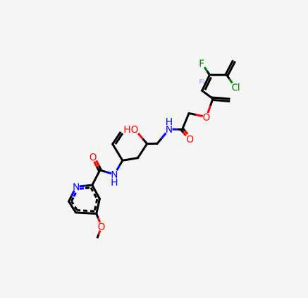 C=CC(CC(O)CNC(=O)COC(=C)/C=C(/F)C(=C)Cl)NC(=O)c1cc(OC)ccn1